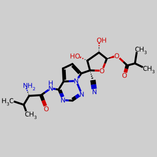 CC(C)C(=O)O[C@H]1O[C@@](C#N)(c2ccc3c(NC(=O)[C@@H](N)C(C)C)ncnn23)[C@H](O)[C@@H]1O